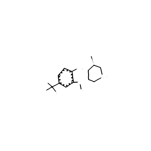 C[C@H]1CNCC[C@@H]1Oc1ccc(C(F)(F)F)cc1OP